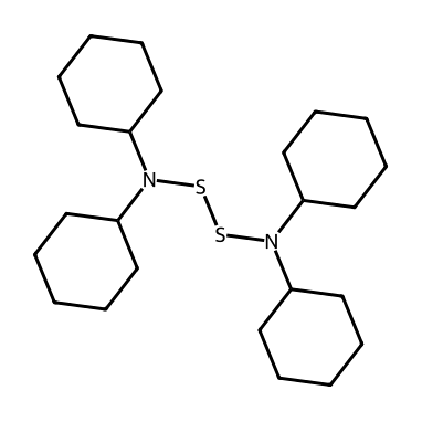 C1CCC(N(SSN(C2CCCCC2)C2CCCCC2)C2CCCCC2)CC1